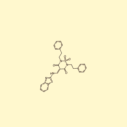 O=C1C(=CNc2nc3ccccc3s2)C(=O)N(CCc2ccccc2)S(=O)(=O)N1CCc1ccccc1